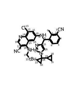 Cc1c(C#N)cccc1[C@H](Nc1cc(Cl)c2ncc(C#N)c(NCC(C)(C)C)c2c1)c1cn(C2(C3CC3)CC2)nn1